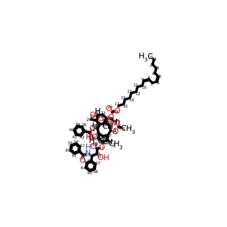 CCCCC/C=C\C/C=C\CCCCCCCCOC(=O)O[C@H]1C[C@H]2OC[C@@]2(OC(C)=O)[C@H]2[C@H](OC(=O)c3ccccc3)[C@]3(O)CC(OC(=O)C(O)[C@@H](NC(=O)c4ccccc4)c4ccccc4)C(C)=C([C@@H](OC(C)=O)C(=O)[C@]12C)C3(C)C